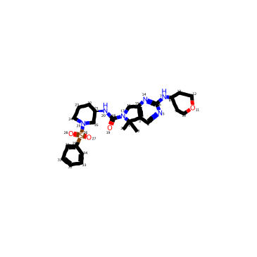 CC1(C)c2cnc(NC3CCOCC3)nc2CN1C(=O)N[C@@H]1CCCN(S(=O)(=O)c2ccccc2)C1